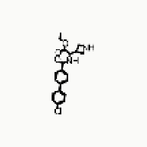 CCOC(=O)C(NC(=O)c1ccc(-c2ccc(Cl)cc2)cc1)C1CNC1